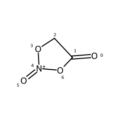 O=C1CO[N+](=O)O1